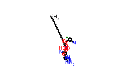 CCCCCCCCCCCCCCCCCCOC[C@H](COP(=O)(O)OC[C@]1(C#N)CC[C@H](c2ccc3c(N)ncnn23)O1)OCc1cc(C#N)ccc1F